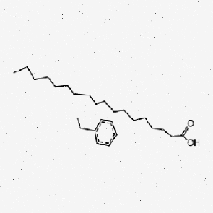 CCCCCCCCCCCCCCCCCC(=O)O.CCc1ccccc1